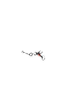 O=C(NOC1CCCCO1)C1(S(=O)(=O)N2CCN(c3ccc(OCCCC(F)(F)F)cc3)CC2)CCOCC1